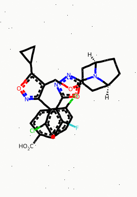 O=C(O)c1ccc(-c2nnc(N3[C@@H]4CC[C@H]3C[C@@H](OCc3c(-c5c(Cl)cccc5Cl)noc3C3CC3)C4)o2)c(F)c1